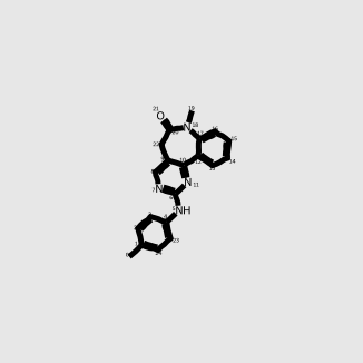 Cc1ccc(Nc2ncc3c(n2)-c2ccccc2N(C)C(=O)C3)cc1